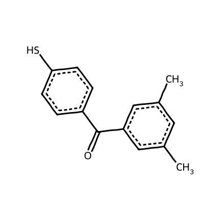 Cc1cc(C)cc(C(=O)c2ccc(S)cc2)c1